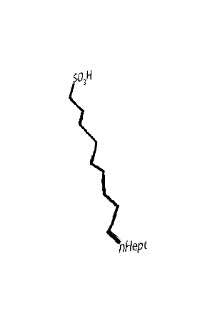 CCCCCCCCCCCCCCCCS(=O)(=O)O